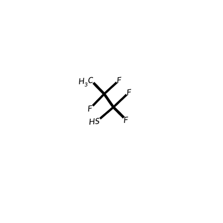 CC(F)(F)C(F)(F)S